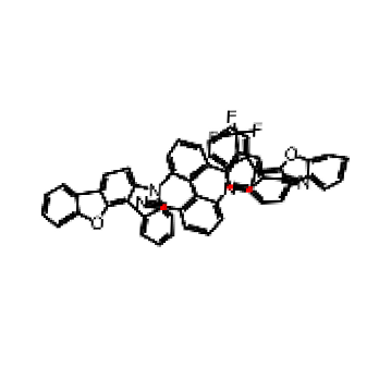 N#Cc1ccc(-c2cccc(-n3c4ccccc4c4c5oc6ccccc6c5ccc43)c2-c2c(C#N)cccc2-n2c3ccccc3c3c4oc5ccccc5c4ccc32)c(C(F)(F)F)c1